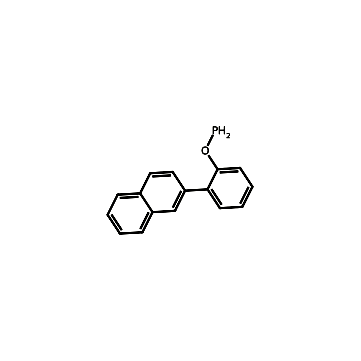 POc1ccccc1-c1ccc2ccccc2c1